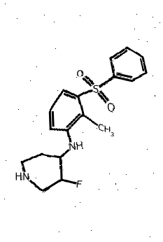 Cc1c(NC2CCNCC2F)cccc1S(=O)(=O)c1ccccc1